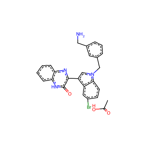 CC(=O)O.NCc1cccc(Cn2cc(-c3nc4ccccc4[nH]c3=O)c3cc(Br)ccc32)c1